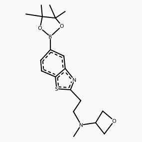 CN(CCc1nc2cc(B3OC(C)(C)C(C)(C)O3)ccc2s1)C1COC1